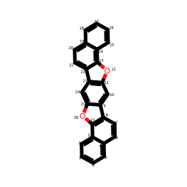 c1ccc2c(c1)ccc1c3cc4oc5c6ccccc6ccc5c4cc3oc21